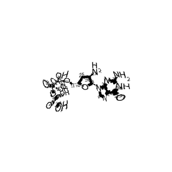 Nc1nc2c(ncn2[C@@H]2O[C@H](COP(=O)(O)OP(=O)(O)OP(=O)(O)O)C[C@H]2N)c(=O)[nH]1